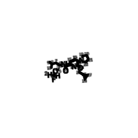 [2H]C([2H])(F)OC[C@H](CC(C)C)NC(=O)c1ccc(N2CCCC2)c(OCC2CC2)n1